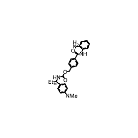 CC[C@@H](NC(=O)OCc1ccc(C(=O)Nc2ccccc2N)cc1)c1ccc(NC)cc1